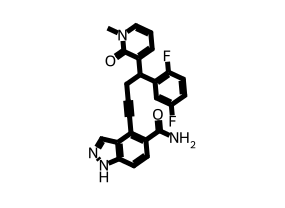 Cn1cccc(C(CC#Cc2c(C(N)=O)ccc3[nH]ncc23)c2cc(F)ccc2F)c1=O